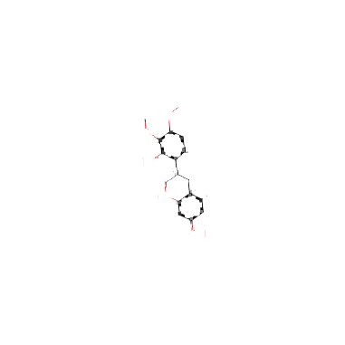 COc1ccc(C2COc3cc(O)ccc3C2)c(O)c1OC